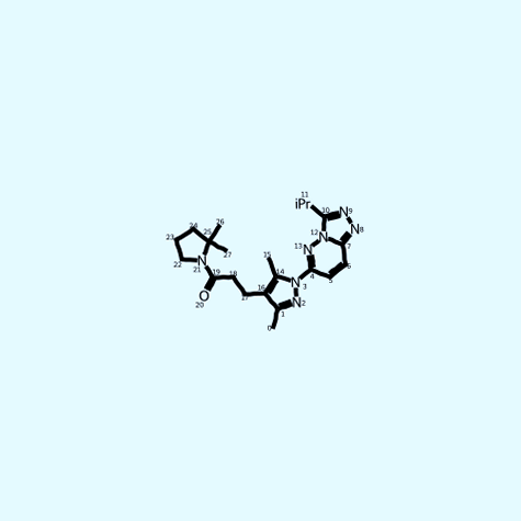 Cc1nn(-c2ccc3nnc(C(C)C)n3n2)c(C)c1CCC(=O)N1CCCC1(C)C